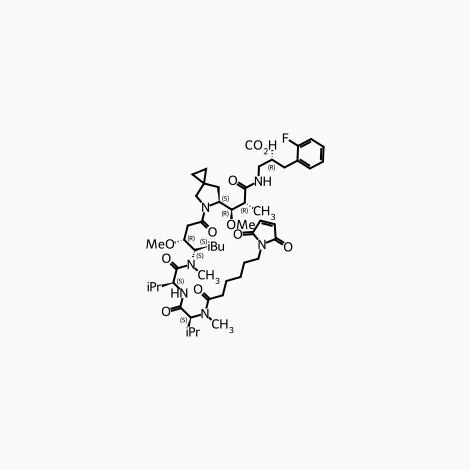 CC[C@H](C)[C@@H]([C@@H](CC(=O)N1CC2(CC2)C[C@H]1[C@H](OC)[C@@H](C)C(=O)NC[C@@H](Cc1ccccc1F)C(=O)O)OC)N(C)C(=O)[C@@H](NC(=O)[C@H](C(C)C)N(C)C(=O)CCCCCN1C(=O)C=CC1=O)C(C)C